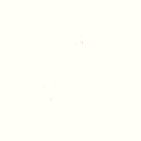 CC(=O)C(=O)OCc1ccc(CCO[N+](=O)[O-])cc1